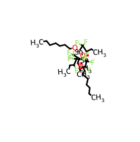 CCCCCCC[O][Sn]([O][Sn]([O]CCCCCCC)([C](F)(F)C(F)CC)[C](F)(F)C(F)CC)([C](F)(F)C(F)CC)[C](F)(F)C(F)CC